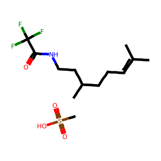 CC(C)=CCCC(C)CCNC(=O)C(F)(F)F.CS(=O)(=O)O